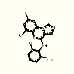 Cc1cccc(Cl)c1Nc1nc2c(Br)cc(F)cc2n2cncc12